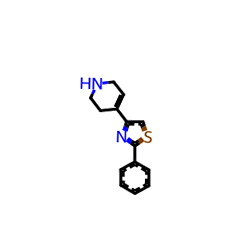 C1=C(c2csc(-c3ccccc3)n2)CCNC1